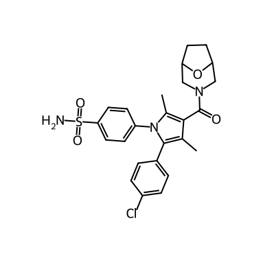 Cc1c(C(=O)N2CC3CCC(C2)O3)c(C)n(-c2ccc(S(N)(=O)=O)cc2)c1-c1ccc(Cl)cc1